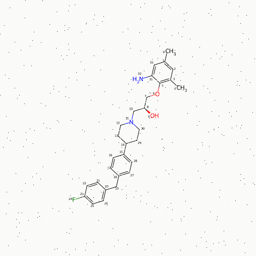 Cc1cc(C)c(OC[C@@H](O)CN2CCC(c3ccc(Cc4ccc(F)cc4)cc3)CC2)c(N)c1